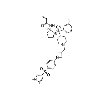 C=CC(=O)N[C@H]1CCC[C@@H]1[C@](C#N)(c1cccc(F)c1)C1CCN(CC2CN(c3ccc(S(=O)(=O)c4cnn(C)c4)cc3)C2)CC1